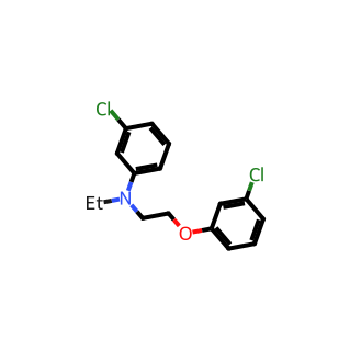 CCN(CCOc1cccc(Cl)c1)c1cccc(Cl)c1